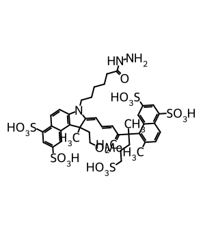 C=C(/C=C/C=C1/N(CCCCCC(=O)NN)c2ccc3c(S(=O)(=O)O)cc(S(=O)(=O)O)cc3c2C1(C)CCOC)C(C)(CCCS(=O)(=O)O)c1c(C)ccc2c(S(=O)(=O)O)cc(S(=O)(=O)O)cc12